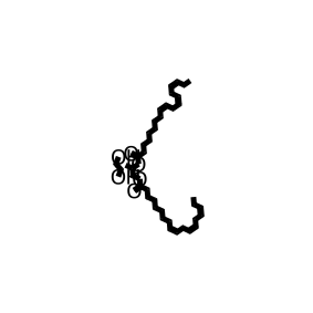 CC/C=C\C/C=C\C/C=C\CCCCCCCC(=O)OCC(C)OC(=O)CCCCCCC/C=C\C/C=C\C/C=C\CC.OCCO